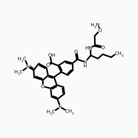 CCCCC(NC(=O)CON)NC(=O)c1ccc(-c2c3ccc(=[N+](C)C)cc-3oc3cc(N(C)C)ccc23)c(C(=O)O)c1